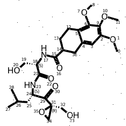 COc1cc2c(c(OC)c1OC)CCC(C(=O)N[C@@H](CO)C(=O)N[C@@H](CC(C)C)C(=O)[C@@]1(CO)CO1)C2